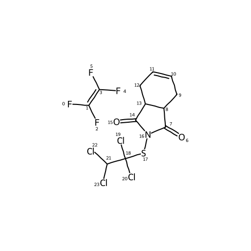 FC(F)=C(F)F.O=C1C2CC=CCC2C(=O)N1SC(Cl)(Cl)C(Cl)Cl